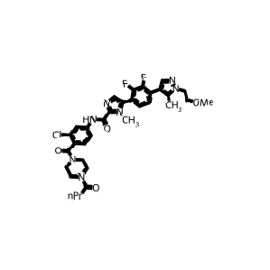 CCCC(=O)N1CCN(C(=O)c2ccc(NC(=O)c3ncc(-c4ccc(-c5cnn(CCOC)c5C)c(F)c4F)n3C)cc2Cl)CC1